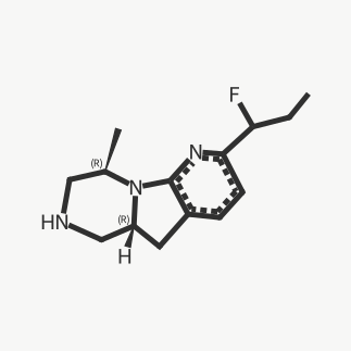 CCC(F)c1ccc2c(n1)N1[C@@H](CNC[C@H]1C)C2